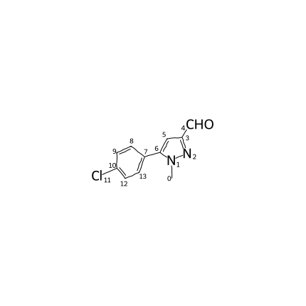 Cn1nc(C=O)cc1-c1ccc(Cl)cc1